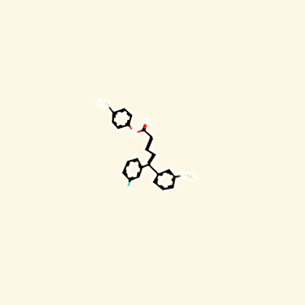 COc1cccc(C(=CC=CC(=O)Oc2ccc([N+](=O)[O-])cc2)c2cccc(F)c2)c1